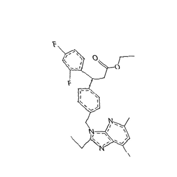 CCOC(=O)CC(c1ccc(Cn2c(CC)nc3c(C)cc(C)nc32)cc1)c1ccc(F)cc1F